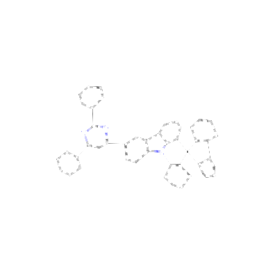 c1ccc(-c2cc(-c3ccc4c(c3)c3cccc5c3n4-c3ccccc3C53c4ccccc4-c4ccccc43)nc(-c3ccccc3)n2)cc1